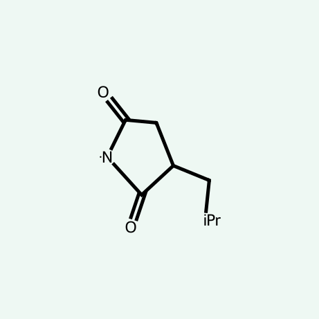 CC(C)CC1CC(=O)[N]C1=O